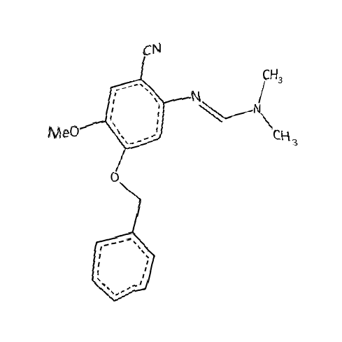 COc1cc(C#N)c(N=CN(C)C)cc1OCc1ccccc1